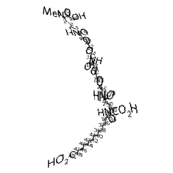 CN[C@@H](CCCCNC(=O)COCCOCCNC(=O)COCCOCCNC(=O)CC[C@H](NC(=O)CCCCCCCCCCCCCCC(=O)O)C(=O)O)C(=O)CO